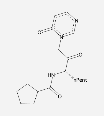 CCCCC[C@H](NC(=O)C1CCCC1)C(=O)Cn1cnccc1=O